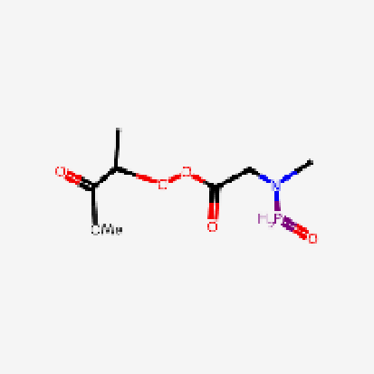 COC(=O)C(C)OOC(=O)CN(C)[PH2]=O